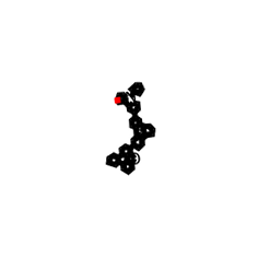 c1ccc(-n2c3ccccc3c3cc(-c4ccc5c(c4)c4cccc6c7ccc(-c8ccc9c%10ccccc%10c%10cccc%11oc8c9c%11%10)cc7n5c46)ccc32)cc1